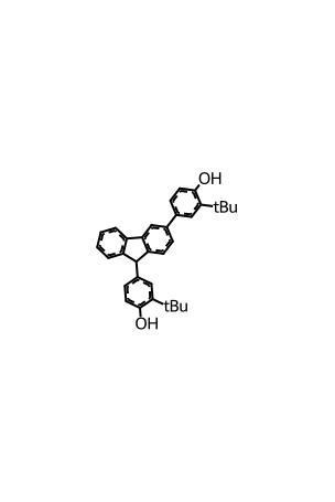 CC(C)(C)c1cc(-c2ccc3c(c2)-c2ccccc2C3c2ccc(O)c(C(C)(C)C)c2)ccc1O